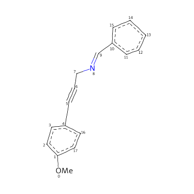 COc1ccc(C#CC/N=C/c2ccccc2)cc1